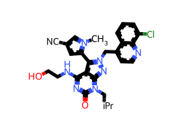 CC(C)Cn1c(=O)nc(NCCO)c2c(-c3cc(C#N)cn3C)n(Cc3ccnc4c(Cl)cccc34)nc21